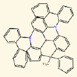 C[Si]1(c2ccccc2)c2cccc3c2B2c4c(cccc4N(c4ccccc4-c4ccccc4)c4cccc1c42)N3c1ccccc1-c1ccccc1